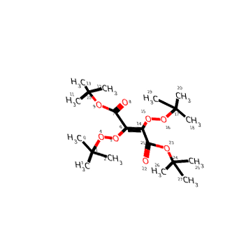 CC(C)(C)OO/C(C(=O)OC(C)(C)C)=C(/OOC(C)(C)C)C(=O)OC(C)(C)C